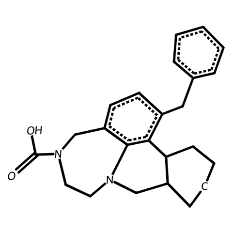 O=C(O)N1CCN2CC3CCCCC3c3c(Cc4ccccc4)ccc(c32)C1